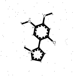 COc1cc(Cl)c(-c2cccn2C)cc1OC